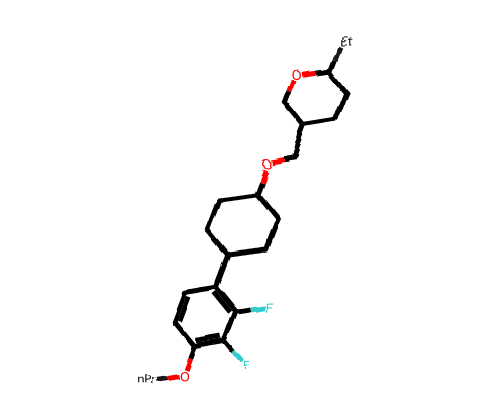 CCCOc1ccc(C2CCC(OCC3CCC(CC)OC3)CC2)c(F)c1F